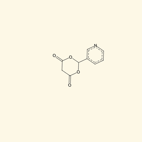 O=C1CC(=O)OC(c2cccnc2)O1